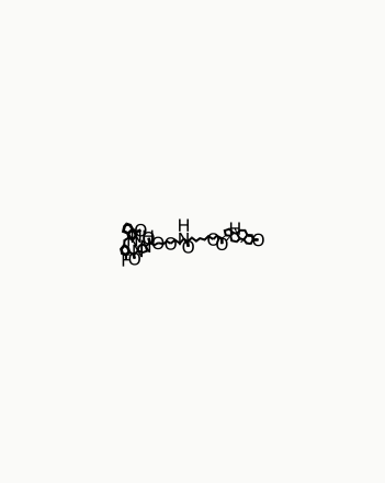 C[C@]12CCC(=O)C=C1CC[C@@H]1C2CC[C@@]2(C)C1CC[C@@H]2C(=O)COCCCCCC(=O)NCCOCCOCC(=O)N1CCN(C(=O)c2cc(Cc3n[nH]c(=O)c4ccccc34)ccc2F)CC1